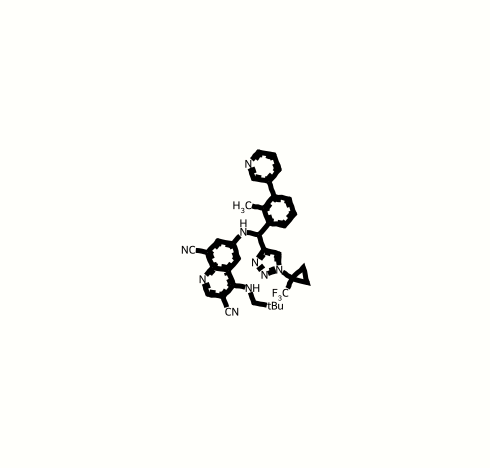 Cc1c(-c2cccnc2)cccc1C(Nc1cc(C#N)c2ncc(C#N)c(NCC(C)(C)C)c2c1)c1cn(C2(C(F)(F)F)CC2)nn1